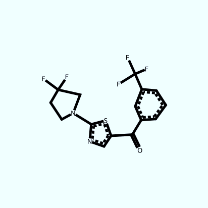 O=C(c1cccc(C(F)(F)F)c1)c1cnc(N2CCC(F)(F)C2)s1